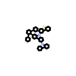 c1ccc(-c2cccc(-c3ccccc3)c2-c2ccc3c4cc(-n5c6ccccc6c6ccccc65)ccc4n(-c4ccc5sc6ccccc6c5c4)c3c2)cc1